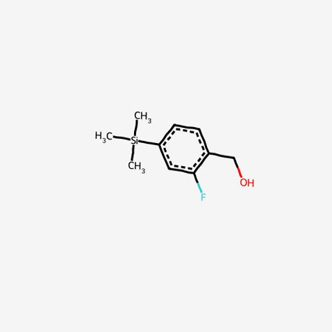 C[Si](C)(C)c1ccc(CO)c(F)c1